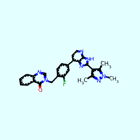 Cc1nn(C)c(C)c1-c1nc2c(-c3ccc(Cn4cnc5ccccc5c4=O)c(F)c3)ccnc2[nH]1